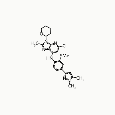 CSc1cc(-c2cc(C)n(C)n2)ccc1Nc1cc(Cl)nc2c1nc(C)n2C1CCCCO1